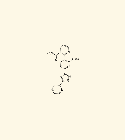 COc1cc(-n2nnc(-c3ccccn3)n2)ccc1-c1ncccc1C(N)=O